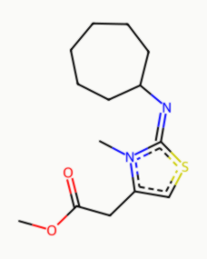 COC(=O)Cc1csc(=NC2CCCCCC2)n1C